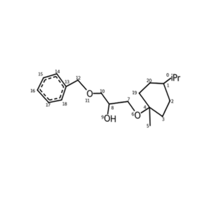 CC(C)C1CCC(C)(OCC(O)COCc2ccccc2)CC1